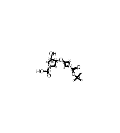 CC(C)(C)OC(=O)N1CC(O[C@@H]2CN(C(=O)O)C[C@H]2O)C1